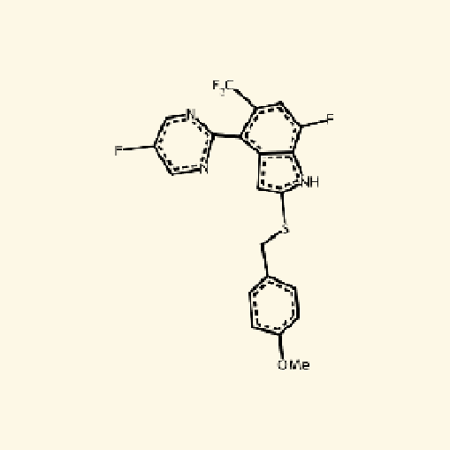 COc1ccc(CSc2cc3c(-c4ncc(F)cn4)c(C(F)(F)F)cc(F)c3[nH]2)cc1